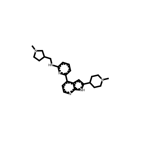 CN1CCC(c2cc3c(-c4cccc(NCC5CCN(C)C5)n4)ccnc3[nH]2)CC1